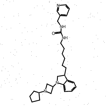 O=C(NCCCCCCC1CN(C2CN(C3CCCC3)C2)c2ccccc21)NCc1cccnc1